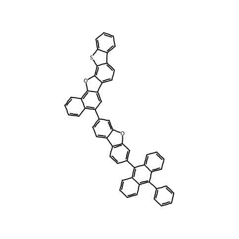 c1ccc(-c2c3ccccc3c(-c3ccc4c(c3)oc3cc(-c5cc6c7ccc8c9ccccc9sc8c7oc6c6ccccc56)ccc34)c3ccccc23)cc1